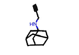 C#CCNC12CC3CC(CC(C3)C1)C2